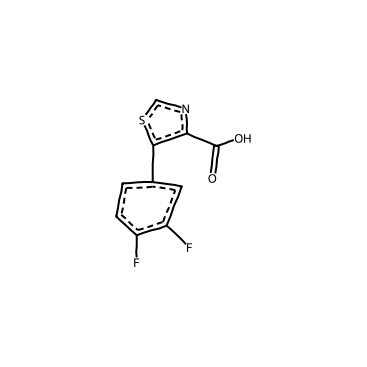 O=C(O)c1ncsc1-c1ccc(F)c(F)c1